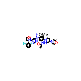 C=CC(=O)Nc1cc(Nc2cc(N3OCC[C@H]3c3c(F)cccc3F)ncn2)c(OC)cc1N1CCC(N2C[C@@H](C)O[C@@H](C)C2)CC1